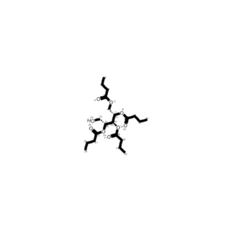 CCCC(=O)OC[C@H](OC(=O)CCC)[C@@H](OC(=O)CCC)[C@@H](CO)OC(=O)CCC